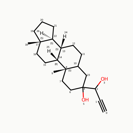 C#CC(O)C1(O)CC[C@@]2(C)C(CC[C@@H]3[C@H]2CC[C@]2(C)CCC[C@@H]32)C1